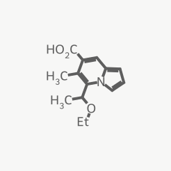 CCOC(C)c1c(C)c(C(=O)O)cc2cccn12